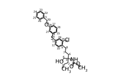 CCCC(CO)(CCCc1ccc(Sc2cccc(OCc3ccccc3)c2)cc1Cl)NC(=O)OC